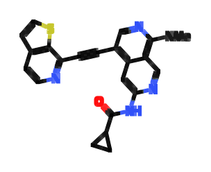 CNc1ncc(C#Cc2nccc3ccsc23)c2cc(NC(=O)C3CC3)ncc12